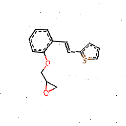 C(=C\c1ccccc1OCC1CO1)/c1cccs1